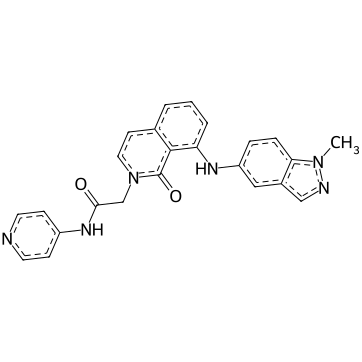 Cn1ncc2cc(Nc3cccc4ccn(CC(=O)Nc5ccncc5)c(=O)c34)ccc21